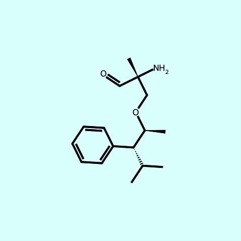 CC(C)[C@H](c1ccccc1)[C@H](C)OC[C@@](C)(N)C=O